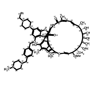 CO[C@H]1/C=C/O[C@@]2(C)Oc3c(C)c(O)c4c(=O)c(c5oc6cc(N7CCN(CC(C)C)CC7)cc(OCc7ccc(CN8CCN(C)CC8)cc7)c6nc-5c4c3C2=O)NC(=O)/C(C)=C\C=C\[C@H](C)[C@H](O)[C@@H](C)[C@@H](O)[C@@H](C)[C@H](OC(C)=O)[C@@H]1C